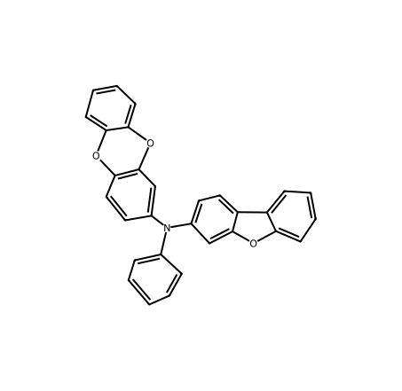 c1ccc(N(c2ccc3c(c2)Oc2ccccc2O3)c2ccc3c(c2)oc2ccccc23)cc1